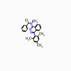 CCC(c1ccccc1)N(C)c1nnc(-c2c(C)cc(C)cc2C)c2ccccc12